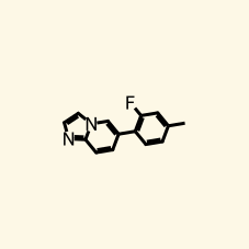 Cc1ccc(-c2ccc3nccn3c2)c(F)c1